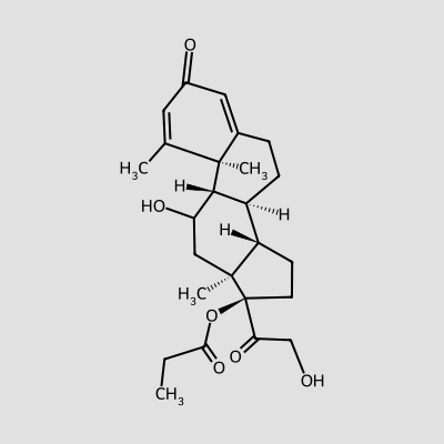 CCC(=O)O[C@]1(C(=O)CO)CC[C@H]2[C@@H]3CCC4=CC(=O)C=C(C)[C@]4(C)[C@H]3C(O)C[C@@]21C